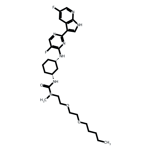 CCCCCOCCOCCN(C)C(=O)N[C@@H]1CCC[C@H](Nc2nc(-c3c[nH]c4ncc(F)cc34)ncc2F)C1